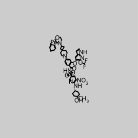 CC(C)c1ccccc1[C@@H]1COCCN1C1CC2(CCN(c3ccc(C(=O)NS(=O)(=O)c4cnc(NC[C@H]5CC[C@](C)(O)CC5)c([N+](=O)[O-])c4)c(Oc4cc5cc[nH]c5nc4OC(F)F)c3)CC2)C1